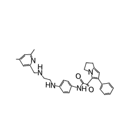 Cc1cc(C)nc(CNCCNc2ccc(NC(=O)C(=O)c3c(-c4ccccc4)cc4n3CCC4)cc2)c1